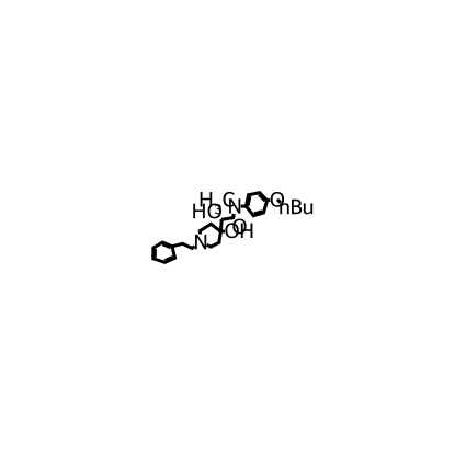 CCCCOc1ccc(N(C)C(=O)C(O)C2(O)CCN(CCc3ccccc3)CC2)cc1